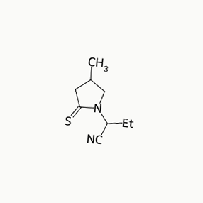 CCC(C#N)N1CC(C)CC1=S